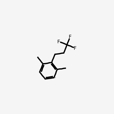 Cc1[c]ccc(C)c1CCC(F)(F)F